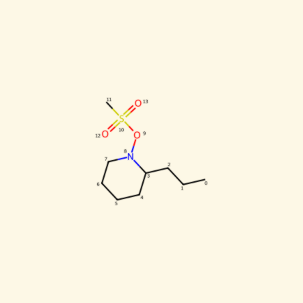 CCCC1CCCCN1OS(C)(=O)=O